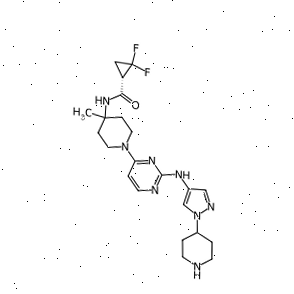 CC1(NC(=O)[C@@H]2CC2(F)F)CCN(c2ccnc(Nc3cnn(C4CCNCC4)c3)n2)CC1